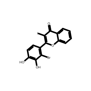 O=c1c(I)c(-c2ccc(O)c(O)c2Br)oc2ccccc12